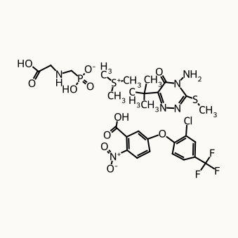 CSc1nnc(C(C)(C)C)c(=O)n1N.C[S+](C)C.O=C(O)CNCP(=O)([O-])O.O=C(O)c1cc(Oc2ccc(C(F)(F)F)cc2Cl)ccc1[N+](=O)[O-]